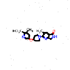 Cc1cc(OC2CCN(c3nc4c(cc3C)C(=O)NC4)CC2)cnc1C(=O)O